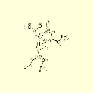 CCC[C@@H](CC[C@@H]1[C@H]2CC(O)O[C@H]2C[C@H]1OP)OP